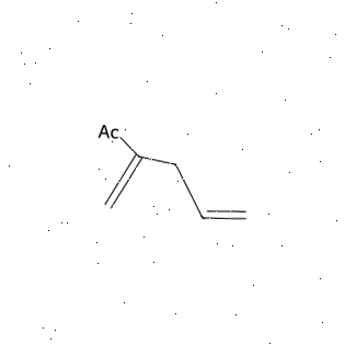 C=CCC(=C)C(C)=O